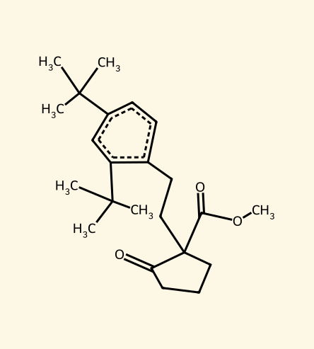 COC(=O)C1(CCc2ccc(C(C)(C)C)cc2C(C)(C)C)CCCC1=O